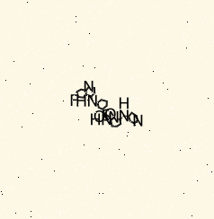 O=S(=O)(Nc1cccc(Nc2ccncc2)n1)c1cccc(Nc2ccnc3ccc(F)cc23)c1